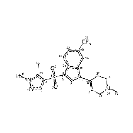 CCn1ncc(S(=O)(=O)n2cc(C3=CCN(C)CC3)c3cc(C(F)(F)F)ccc32)c1C